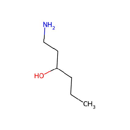 CCCC(O)CCN